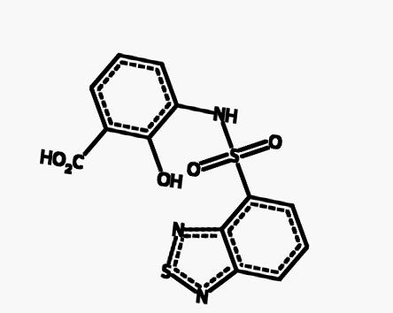 O=C(O)c1cccc(NS(=O)(=O)c2cccc3nsnc23)c1O